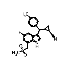 Cc1ccc(C(c2c[nH]c3c(CS(C)(=O)=O)cc(F)cc23)C2CC2C#N)cc1